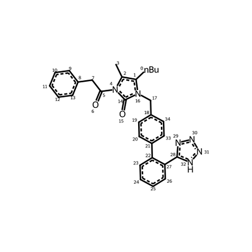 CCCCc1c(C)n(C(=O)Cc2ccccc2)c(=O)n1Cc1ccc(-c2ccccc2-c2nnn[nH]2)cc1